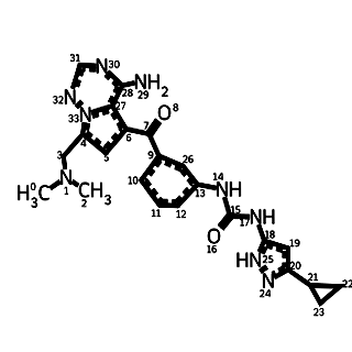 CN(C)Cc1cc(C(=O)c2cccc(NC(=O)Nc3cc(C4CC4)n[nH]3)c2)c2c(N)ncnn12